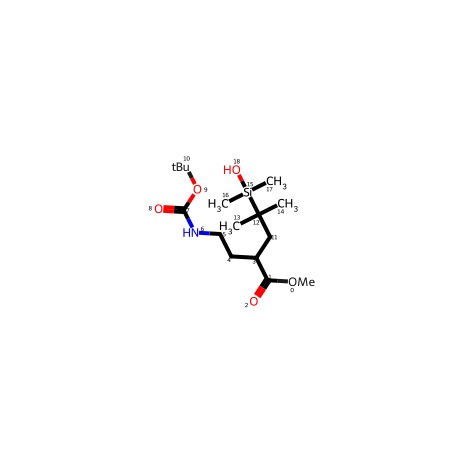 COC(=O)C(CCNC(=O)OC(C)(C)C)CC(C)(C)[Si](C)(C)O